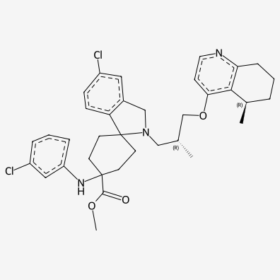 COC(=O)C1(Nc2cccc(Cl)c2)CCC2(CC1)c1ccc(Cl)cc1CN2C[C@@H](C)COc1ccnc2c1[C@H](C)CCC2